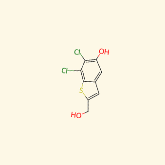 OCc1cc2cc(O)c(Cl)c(Cl)c2s1